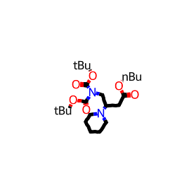 CCCCOC(=O)CC(CN(C(=O)OC(C)(C)C)C(=O)OC(C)(C)C)N1CCCCC1